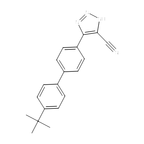 CC(C)(C)c1ccc(-c2ccc(-c3nn[nH]c3C#N)cc2)cc1